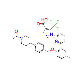 CC(=O)N1CCC(c2ccc(COc3ccc(C)cc3-c3cccc(-n4ncc(C(=O)O)c4C(F)(F)F)n3)cc2)CC1